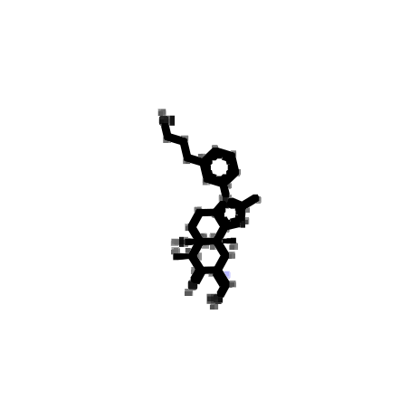 Cc1nc2c(n1-c1cccc(CCCO)c1)CC[C@H]1[C@H](C)C(=O)/C(=C\O)C[C@]21C